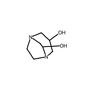 OC1CN2CCN(C1)C(O)C2